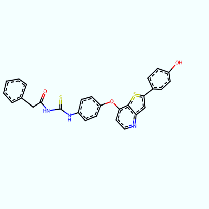 O=C(Cc1ccccc1)NC(=S)Nc1ccc(Oc2ccnc3cc(-c4ccc(O)cc4)sc23)cc1